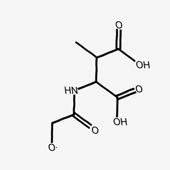 CC(C(=O)O)C(NC(=O)C[O])C(=O)O